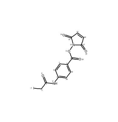 O=C(CI)Nc1ccc(C(=O)ON2C(=O)C=CC2=O)cc1